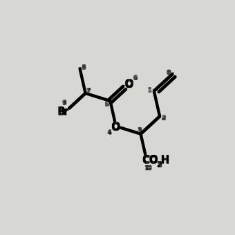 C=CCC(OC(=O)C(C)Br)C(=O)O